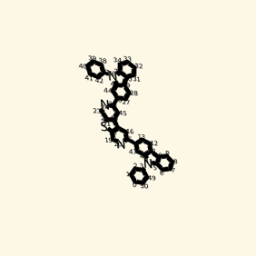 c1ccc(-n2c3ccccc3c3ccc(-c4cc5c(cn4)sc4cnc(-c6ccc7c8ccccc8n(-c8ccccc8)c7c6)cc45)cc32)cc1